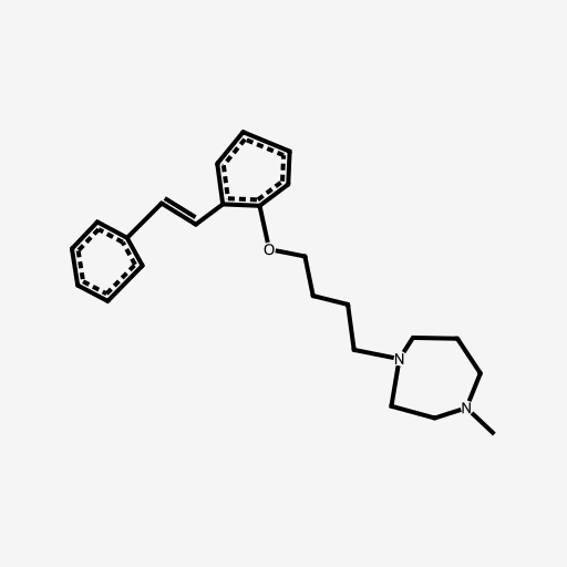 CN1CCCN(CCCCOc2ccccc2C=Cc2ccccc2)CC1